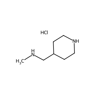 CNCC1CCNCC1.Cl